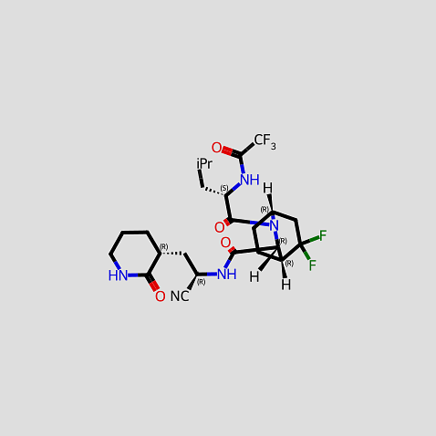 CC(C)C[C@H](NC(=O)C(F)(F)F)C(=O)N1[C@@H]2CC[C@H]([C@@H]1C(=O)N[C@@H](C#N)C[C@H]1CCCNC1=O)C(F)(F)C2